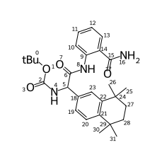 CC(C)(C)OC(=O)NC(C(=O)Nc1ccccc1C(N)=O)c1ccc2c(c1)C(C)(C)CCC2(C)C